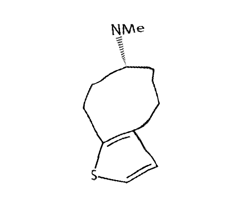 CN[C@@H]1CCc2ccsc2CC1